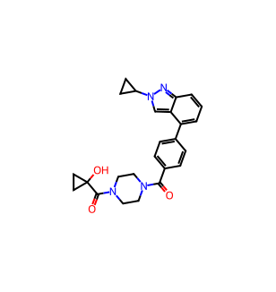 O=C(c1ccc(-c2cccc3nn(C4CC4)cc23)cc1)N1CCN(C(=O)C2(O)CC2)CC1